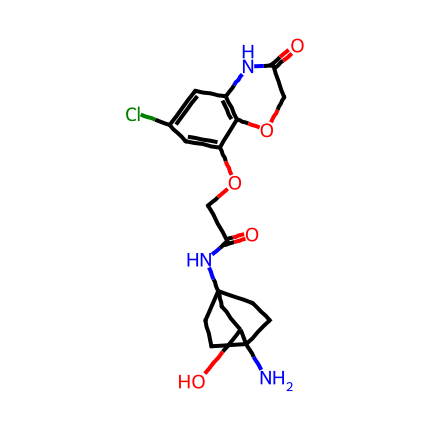 NC12CCC(NC(=O)COc3cc(Cl)cc4c3OCC(=O)N4)(CC1)CC2O